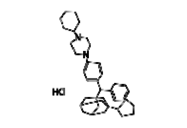 Cl.c1ccc(C(c2ccc(N3CCN(C4CCCCC4)CC3)cc2)C23CC4CC(CC(C5CCCC5)(C4)C2)C3)cc1